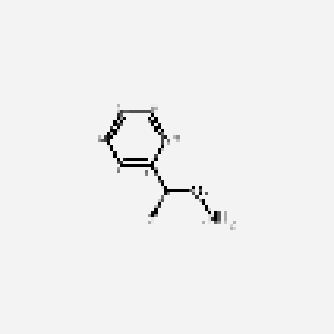 C[C@H](ON)c1ccccn1